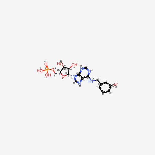 O=P(O)(O)OC[C@H]1O[C@@H](n2cnc3c(NCc4cccc(Br)c4)ncnc32)[C@H](O)[C@@H]1O